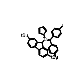 CC(C)(C)c1ccc2c(c1)[CH]([Zr](=[C](c1ccc(I)cc1)c1ccc(I)cc1)[CH]1C=CC=C1)c1cc(C(C)(C)C)ccc1-2